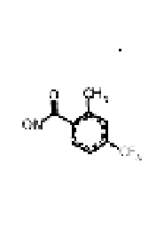 Cc1cc(C(F)(F)F)ccc1C(=O)N=O